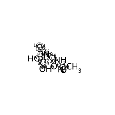 Cc1cc(C(=O)Nc2ccc(N(Cc3ccccc3)C(=O)c3ccc(O)cc3O)cc2)no1